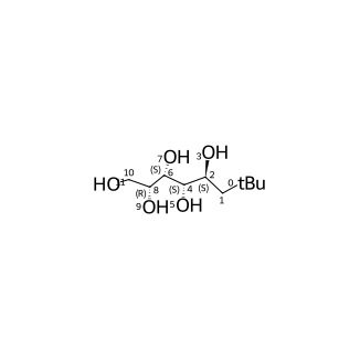 CC(C)(C)C[C@H](O)[C@H](O)[C@@H](O)[C@H](O)CO